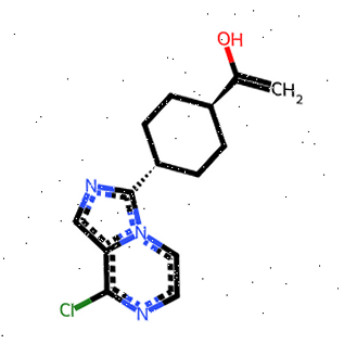 C=C(O)[C@H]1CC[C@H](c2ncc3c(Cl)nccn32)CC1